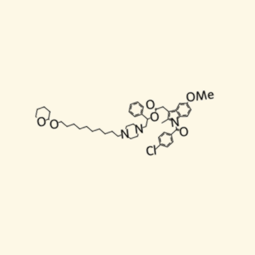 COc1ccc2c(c1)c(CC(=O)OC(CN1CCN(CCCCCCCCCCOC3CCCCO3)CC1)c1ccccc1)c(C)n2C(=O)c1ccc(Cl)cc1